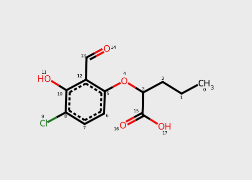 CCCC(Oc1ccc(Cl)c(O)c1C=O)C(=O)O